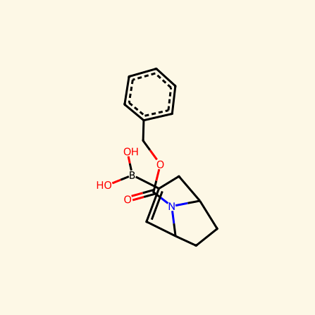 O=C(OCc1ccccc1)N1C2C=C(B(O)O)CC1CC2